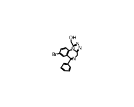 OCc1nnc2n1-c1ccc(Br)cc1C(c1ccccc1)=NC2